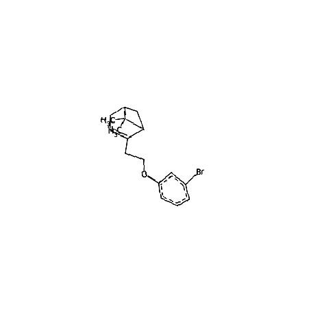 CC1(C)C2CC=C(CCOc3cccc(Br)c3)C1C2